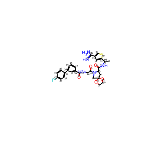 C[C@@H](NC(=O)C1CC2(CN1C(=O)CNC(=O)c1cccc(-c3ccc(F)cc3)c1)OCCO2)c1cc(C(=N)N)cs1